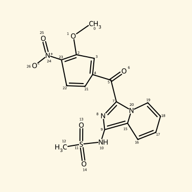 COc1cc(C(=O)c2nc(NS(C)(=O)=O)c3ccccn23)ccc1[N+](=O)[O-]